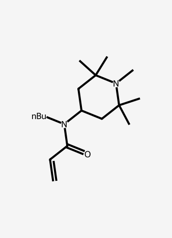 C=CC(=O)N(CCCC)C1CC(C)(C)N(C)C(C)(C)C1